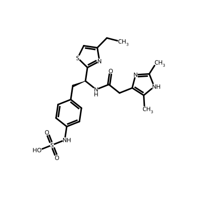 CCc1csc([C@H](Cc2ccc(NS(=O)(=O)O)cc2)NC(=O)Cc2nc(C)[nH]c2C)n1